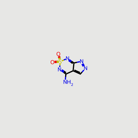 NC1=NS(=O)(=O)N=C2N=NC=C12